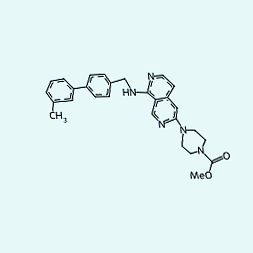 COC(=O)N1CCN(c2cc3ccnc(NCc4ccc(-c5cccc(C)c5)cc4)c3cn2)CC1